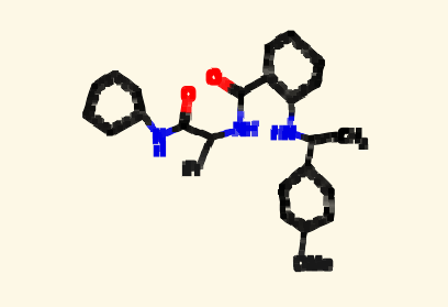 C=C(Nc1ccccc1C(=O)NC(C(=O)Nc1ccccc1)C(C)C)c1ccc(OC)cc1